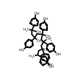 CC(CC(C)(CC(C)(CC(C)(CC(C)(CC(C)(C)c1ccc(O)cc1)c1ccc(O)cc1)c1ccc(O)cc1)c1ccc(O)cc1)c1ccc(O)cc1)c1ccc(O)cc1